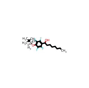 CCCCCCCC(O)c1c(F)c(F)c(O[Si](C)(C)C(C)(C)C)c(F)c1F